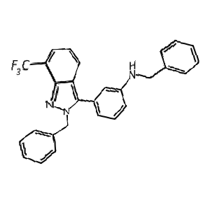 FC(F)(F)c1cccc2c(-c3cccc(NCc4ccccc4)c3)n(Cc3ccccc3)nc12